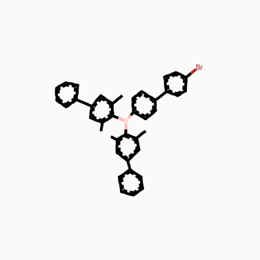 Cc1cc(-c2ccccc2)cc(C)c1B(c1ccc(-c2ccc(Br)cc2)cc1)c1c(C)cc(-c2ccccc2)cc1C